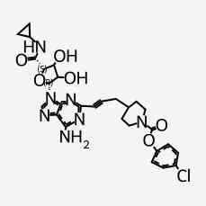 Nc1nc(C#CCC2CCN(C(=O)Oc3ccc(Cl)cc3)CC2)nc2c1ncn2[C@@H]1O[C@H](C(=O)NC2CC2)C(O)C1O